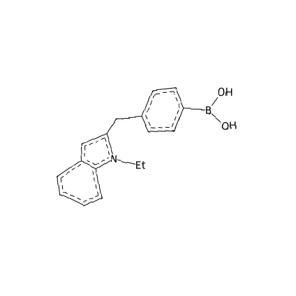 CCn1c(Cc2ccc(B(O)O)cc2)cc2ccccc21